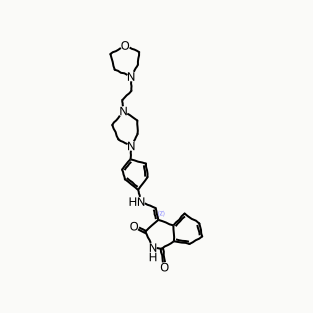 O=C1NC(=O)c2ccccc2/C1=C/Nc1ccc(N2CCN(CCN3CCOCC3)CC2)cc1